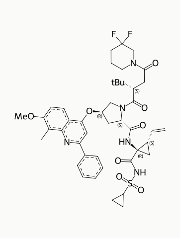 C=C[C@@H]1C[C@]1(NC(=O)[C@@H]1C[C@@H](Oc2cc(-c3ccccc3)nc3c(C)c(OC)ccc23)CN1C(=O)[C@@H](CC(=O)N1CCCC(F)(F)C1)C(C)(C)C)C(=O)NS(=O)(=O)C1CC1